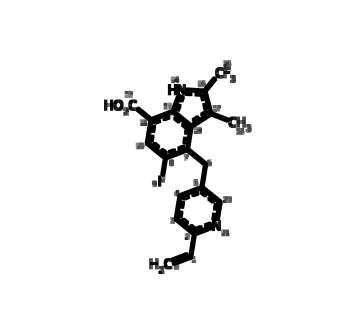 C=Cc1ccc(Cc2c(F)cc(C(=O)O)c3[nH]c(C(F)(F)F)c(C)c23)cn1